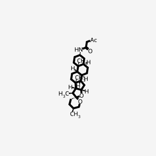 CC(=O)CC(=O)N[C@H]1CC[C@@]2(C)[C@H](CC[C@@H]3[C@@H]2CC[C@]2(C)[C@@H]4[C@H](C[C@@H]32)O[C@]2(CC[C@H](C)CO2)[C@H]4C)C1